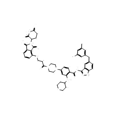 Cc1cc(F)cc(Cc2ccc3[nH]nc(NC(=O)c4ccc(N5CCN(C(=O)CCNc6cccc7c6C(=O)N(C6CCC(=O)NC6=O)C7=O)CC5)cc4NC4CCOCC4)c3c2)c1